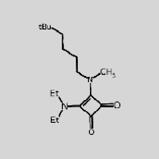 CCN(CC)c1c(N(C)CCCCC(C)(C)C)c(=O)c1=O